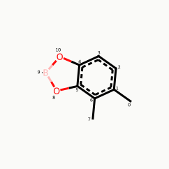 Cc1ccc2c(c1C)O[B]O2